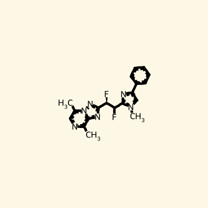 Cc1ncc(C)n2nc([C@@H](F)C(F)c3nc(-c4ccccc4)cn3C)nc12